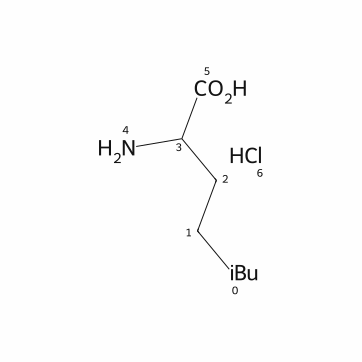 CCC(C)CCC(N)C(=O)O.Cl